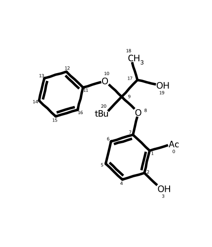 CC(=O)c1c(O)cccc1OC(Oc1ccccc1)(C(C)O)C(C)(C)C